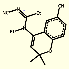 CC/C(=N/C#N)N(CC)C1=CC(C)(C)Oc2ccc(C#N)cc21